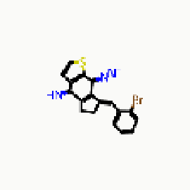 [N-]=[N+]=C1C2=C(CCC2=Cc2ccccc2Br)C(=N)c2ccsc21